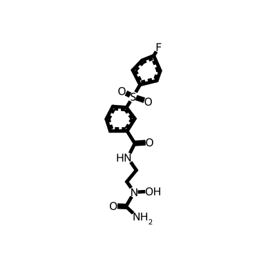 NC(=O)N(O)CCNC(=O)c1cccc(S(=O)(=O)c2ccc(F)cc2)c1